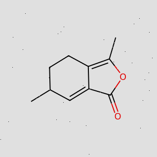 CC1=C2CCC(C)C=C2C(=O)O1